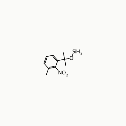 Cc1cccc(C(C)(C)O[SiH3])c1[N+](=O)[O-]